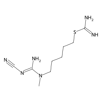 CN(CCCCCSC(=N)N)C(N)=NC#N